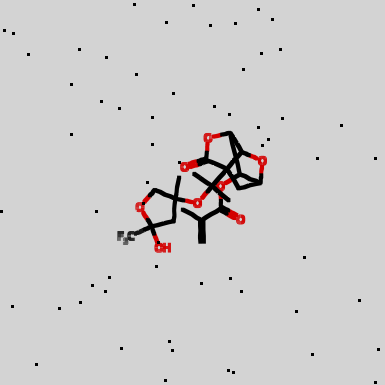 C=C(C)C(=O)OC1C2CC3(C(C)(C)OC4(C)COC(O)(C(F)(F)F)C4)C(=O)OC1C3O2